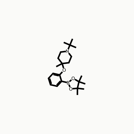 CC1(Oc2ccccc2B2OC(C)(C)C(C)(C)O2)CCN(C(C)(C)C)CC1